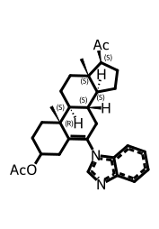 CC(=O)OC1CC[C@@]2(C)C(=C(n3cnc4ccccc43)C[C@H]3[C@@H]4CC[C@H](C(C)=O)[C@@]4(C)CC[C@@H]32)C1